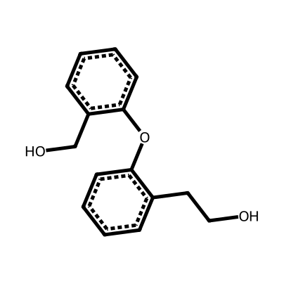 OCCc1ccccc1Oc1ccccc1CO